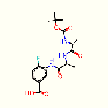 C[C@H](NC(=O)OC(C)(C)C)C(=O)N[C@@H](C)C(=O)Nc1cc(C(=O)O)ccc1F